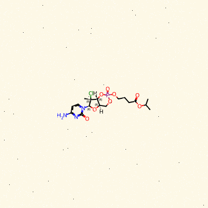 CC(C)OC(=O)CCCOP1(=O)OC[C@H]2O[C@@H](n3ccc(N)nc3=O)[C@](C)(Cl)[C@@H]2O1